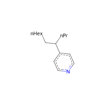 CCCCCCCC(CCC)c1ccncc1